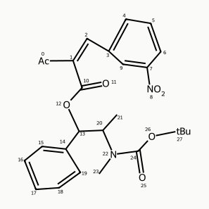 CC(=O)C(=Cc1cccc([N+](=O)[O-])c1)C(=O)OC(c1ccccc1)C(C)N(C)C(=O)OC(C)(C)C